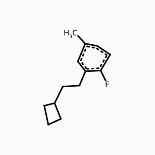 Cc1ccc(F)c(CCC2CCC2)c1